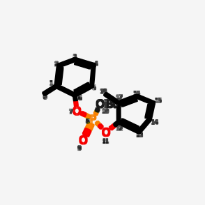 Cc1ccccc1OP(=O)(OCC(C)C)Oc1ccccc1C